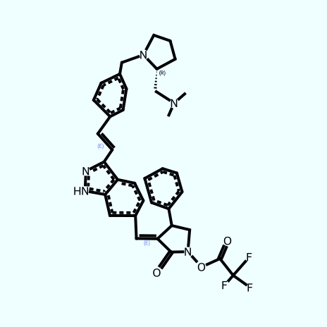 CN(C)C[C@H]1CCCN1Cc1ccc(/C=C/c2n[nH]c3cc(/C=C4/C(=O)N(OC(=O)C(F)(F)F)CC4c4ccccc4)ccc23)cc1